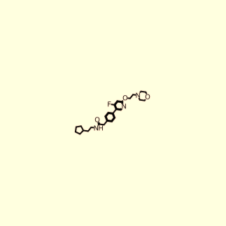 O=C(Cc1ccc(-c2cnc(OCCN3CCOCC3)cc2F)cc1)NCCC1CCCC1